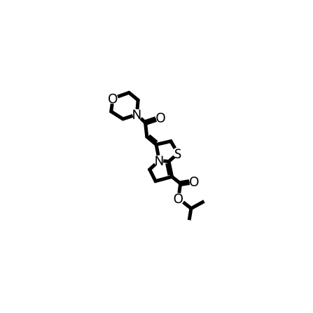 CC(C)OC(=O)C1=C2SCC(=CC(=O)N3CCOCC3)N2CC1